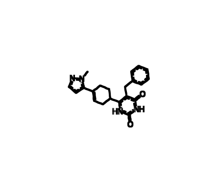 Cn1nccc1C1=CCC(c2[nH]c(=O)[nH]c(=O)c2Cc2ccccc2)CC1